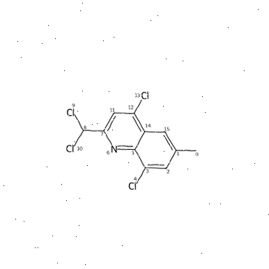 Cc1cc(Cl)c2nc(C(Cl)Cl)cc(Cl)c2c1